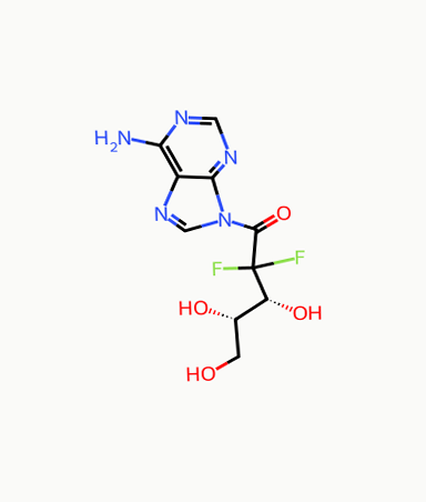 Nc1ncnc2c1ncn2C(=O)C(F)(F)[C@H](O)[C@@H](O)CO